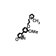 COc1cc(-c2ccc(=O)[nH]n2)ccc1OCCCN1CCC[C@H]1C